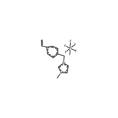 C=Cc1ccc(C[n+]2ccn(C)c2)cc1.F[P-](F)(F)(F)(F)F